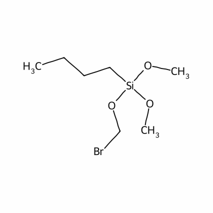 CCCC[Si](OC)(OC)OCBr